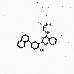 CC[C@H](N)CNc1nc(-c2cc(-c3cccc4ccccc34)ccc2O)nc2ccccc12